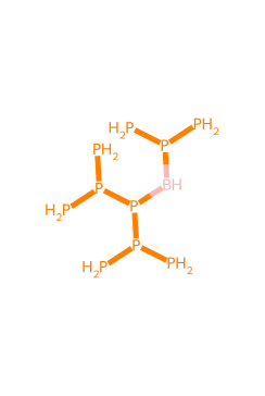 PP(P)BP(P(P)P)P(P)P